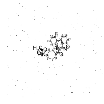 CS(=O)(=O)N[C@H]1CCCN(C(=O)Nc2noc3cccc(-c4c(F)cccc4F)c23)CC1